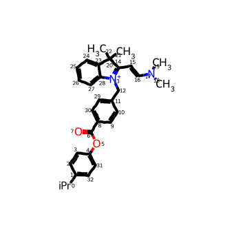 CC(C)c1ccc(OC(=O)c2ccc(C[N+]3=C(C=CN(C)C)C(C)(C)c4ccccc43)cc2)cc1